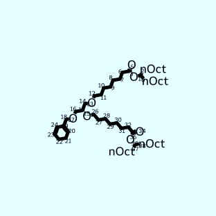 CCCCCCCCC(CCCCCCCC)OC(=O)CCCCCCCOCC(COCC1=CCCC=C1)OCCCCCCCC(=O)OC(CCCCCCCC)CCCCCCCC